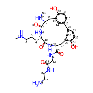 CNCCC[C@@H]1NC(=O)[C@@H](NC)Cc2cc(ccc2O)-c2ccc(O)c(c2)C[C@@H](C(=O)NCC(=O)NCCN)NC1=O